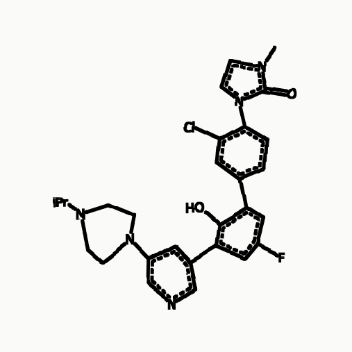 CC(C)N1CCN(c2cncc(-c3cc(F)cc(-c4ccc(-n5ccn(C)c5=O)c(Cl)c4)c3O)c2)CC1